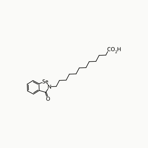 O=C(O)CCCCCCCCCCCn1[se]c2ccccc2c1=O